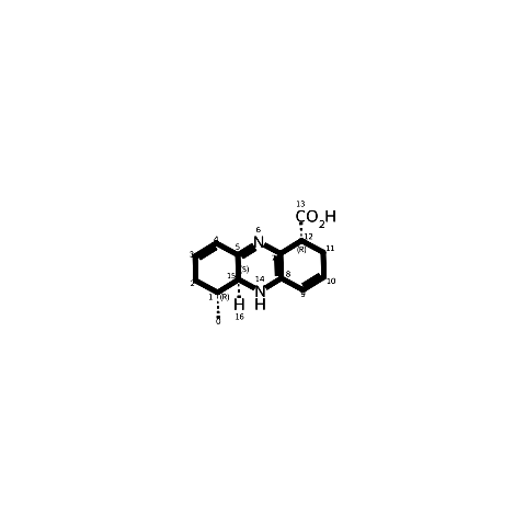 C[C@@H]1CC=CC2=NC3=C(C=CC[C@H]3C(=O)O)N[C@H]21